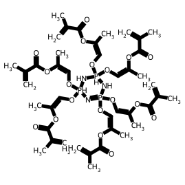 C=C(C)C(=O)OC(C)=COP1(OC=C(C)OC(=O)C(=C)C)=N[PH](OC=C(C)OC(=O)C(=C)C)(OC=C(C)OC(=O)C(=C)C)N[PH](OC=C(C)OC(=O)C(=C)C)(OC=C(C)OC(=O)C(=C)C)N1